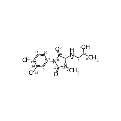 CC(O)CNC1C(=O)N(c2ccc(Cl)c(Cl)c2)C(=O)N1C